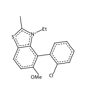 CC[n+]1c(C)sc2ccc(OC)c(-c3ccccc3Cl)c21